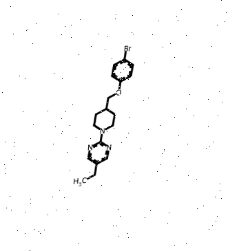 CCc1cnc(N2CCC(COc3ccc(Br)cc3)CC2)nc1